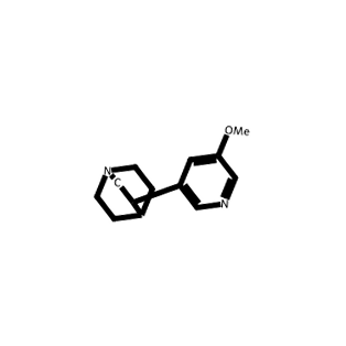 COc1cncc(C2CN3CCC2CC3)c1